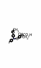 Cc1ccc(-c2ccc(/C(=C\COc3ccc(OC(C)C(=O)O)c(C)c3)c3ccc(I)cc3)cc2)s1